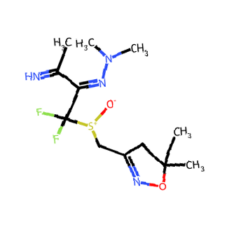 CC(=N)/C(=N\N(C)C)C(F)(F)[S+]([O-])CC1=NOC(C)(C)C1